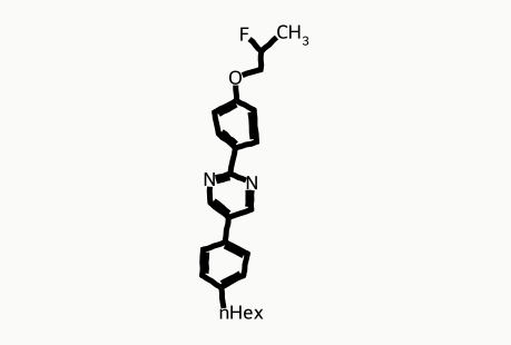 CCCCCCc1ccc(-c2cnc(-c3ccc(OCC(C)F)cc3)nc2)cc1